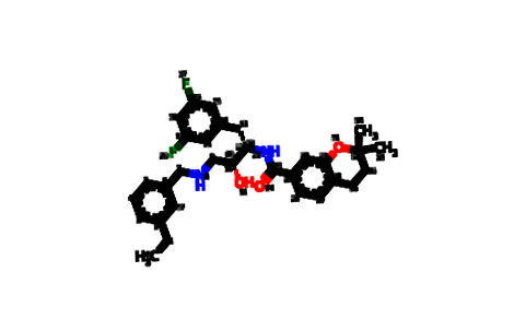 CCc1cccc(CNC[C@@H](O)[C@H](Cc2cc(F)cc(F)c2)NC(=O)c2ccc3c(c2)OC(C)(C)CC3)c1